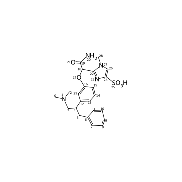 CN(C)CC(Cc1ccccc1)c1cccc(OC(C(N)=O)c2nc(S(=O)(=O)O)cn2C)c1